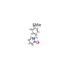 CSc1ccc(Cn2ccccc2=O)cc1